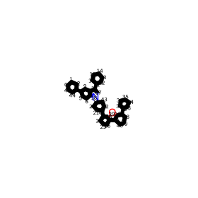 c1ccc(-c2ccc3c(c2)c(-c2ccccc2)cn3-c2ccc(-c3cccc4c3oc3c(-c5ccccc5)cccc34)cc2)cc1